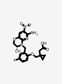 C[C@@H]1COc2cc([N+](=O)[O-])c(N)nc2N1Cc1cc(F)ccc1OCC1(CC(=O)O)CC1